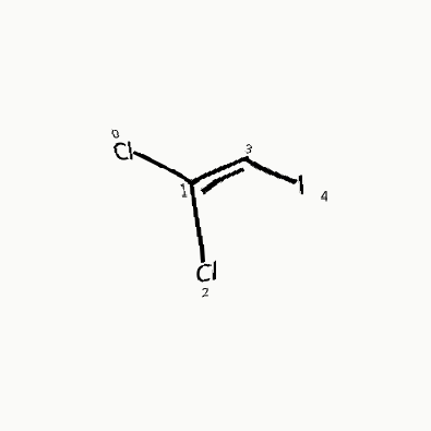 ClC(Cl)=CI